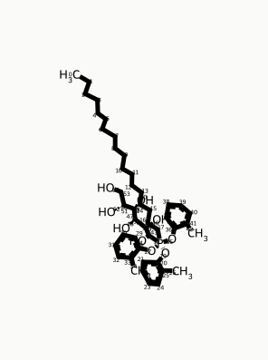 CCCCCCCCCCCCCCCCCCP(Oc1ccccc1C)(Oc1ccccc1C)(Oc1ccccc1C)C(O)[C@H](O)[C@@H](O)[C@H](O)[C@H](O)CO